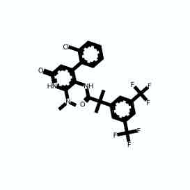 CN(C)c1[nH]c(=O)cc(-c2ccccc2Cl)c1NC(=O)C(C)(C)c1cc(C(F)(F)F)cc(C(F)(F)F)c1